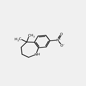 CC1(C)CCCNc2cc([N+](=O)[O-])ccc21